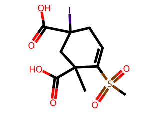 CC1(C(=O)O)CC(I)(C(=O)O)CC=C1S(C)(=O)=O